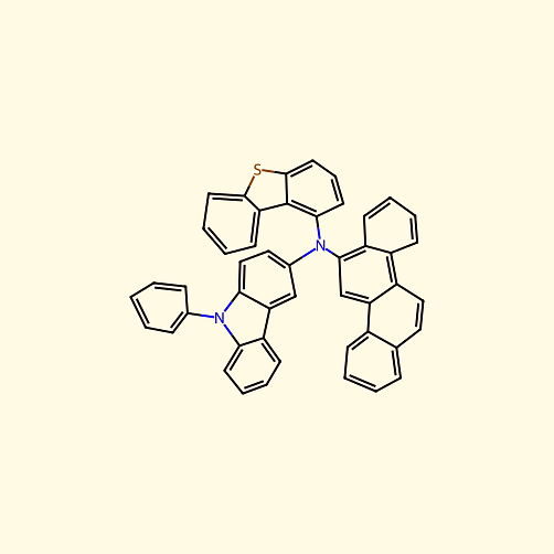 c1ccc(-n2c3ccccc3c3cc(N(c4cc5c6ccccc6ccc5c5ccccc45)c4cccc5sc6ccccc6c45)ccc32)cc1